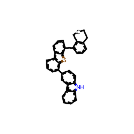 c1cc2c(c(-c3cccc4c3sc3c(-c5ccc6[nH]c7ccccc7c6c5)cccc34)c1)CCCC2